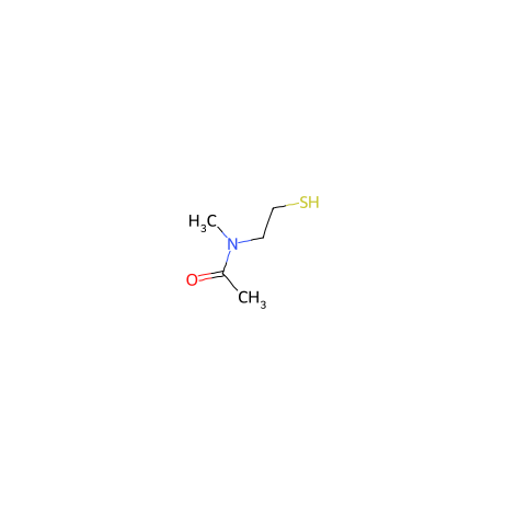 CC(=O)N(C)CCS